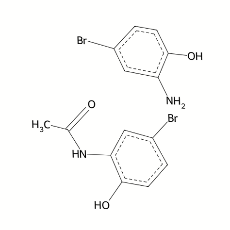 CC(=O)Nc1cc(Br)ccc1O.Nc1cc(Br)ccc1O